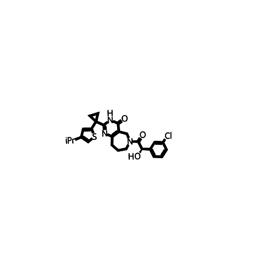 CC(C)c1csc(C2(c3nc4c(c(=O)[nH]3)CN(C(=O)[C@H](O)c3cccc(Cl)c3)CCC4)CC2)c1